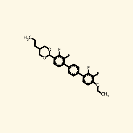 CCCC1COC(c2ccc(-c3ccc(-c4ccc(OCC)c(F)c4F)cc3)c(F)c2F)OC1